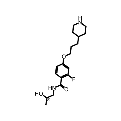 C[C@@H](O)CNC(=O)c1ccc(OCCCC2CCNCC2)cc1F